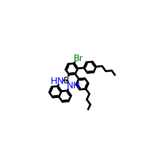 CCCCc1ccc(-c2c(Br)ccc(B3Nc4cccc5cccc(c45)N3)c2-c2ccc(CCCC)cc2)cc1